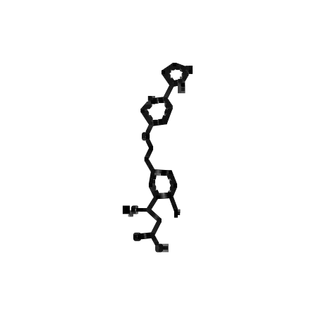 CC(CC(=O)O)c1cc(CCOc2ccc(-c3ccn[nH]3)nc2)ccc1F